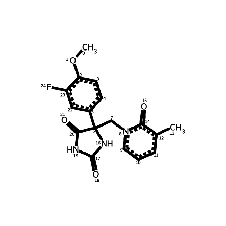 COc1ccc(C2(Cn3cccc(C)c3=O)NC(=O)NC2=O)cc1F